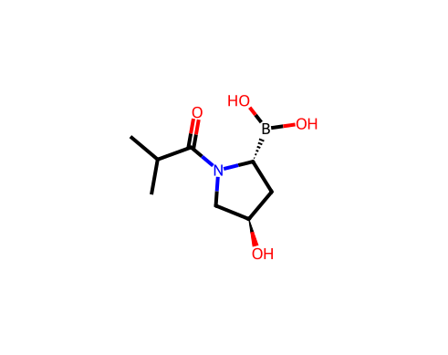 CC(C)C(=O)N1C[C@H](O)C[C@H]1B(O)O